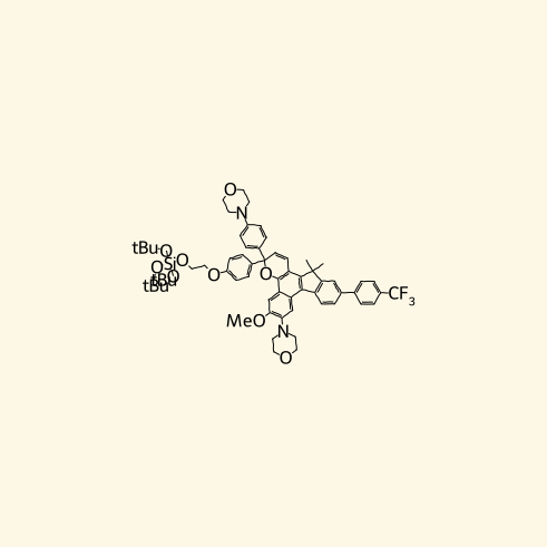 COc1cc2c3c(c4c(c2cc1N1CCOCC1)-c1ccc(-c2ccc(C(F)(F)F)cc2)cc1C4(C)C)C=CC(c1ccc(OCCO[Si](OC(C)(C)C)(OC(C)(C)C)OC(C)(C)C)cc1)(c1ccc(N2CCOCC2)cc1)O3